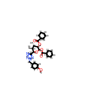 COc1ccc(Cn2nnc(C3OC(OC(=O)c4ccccc4)C(OC(=O)c4ccccc4)[C@@H](C)[C@@H]3C)n2)cc1